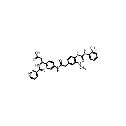 COc1cc(CC(=O)Nc2ccc(C(CC(=O)O)NC(=O)c3cccnn3)nc2)ccc1NC(=O)Nc1ccccc1C